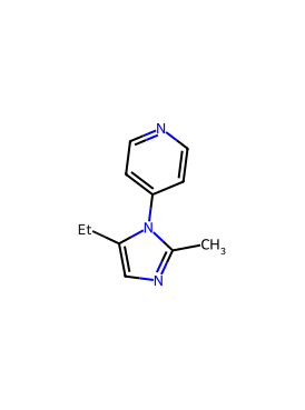 CCc1cnc(C)n1-c1ccncc1